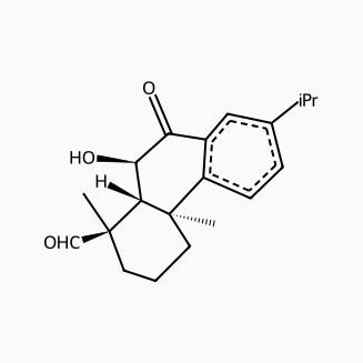 CC(C)c1ccc2c(c1)C(=O)[C@H](O)[C@H]1[C@](C)(C=O)CCC[C@]21C